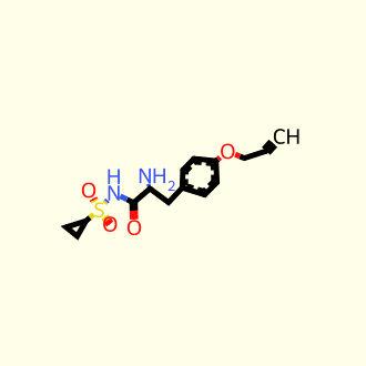 C#CCOc1ccc(C[C@H](N)C(=O)NS(=O)(=O)C2CC2)cc1